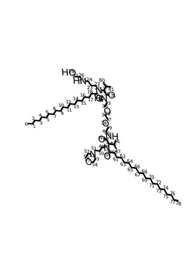 CCCCCCCCCCCCCCCCCCCC(=O)N(CCCNCCO)C(C(=O)NCCOCCOCCNC(=O)C(C(C)C)N(CCCN1CCOCC1)C(=O)CCCCCCCCCCCCCCCCCCC)C(C)C